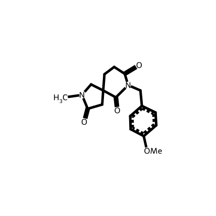 COc1ccc(CN2C(=O)CCC3(CC(=O)N(C)C3)C2=O)cc1